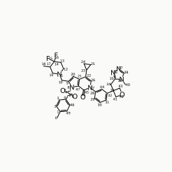 Cc1ccc(S(=O)(=O)n2c(CN3CCC(F)(F)C(C)C3)cc3c(C4CC4)cn(-c4cccc(C5(Cc6nncn6C)COC5)c4)c(=O)c32)cc1